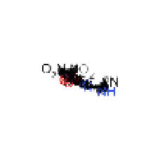 N#Cc1ccc2[nH]cc(CCCCN3CCN(c4ccc5oc(C(=O)N(C(=O)c6ccc([N+](=O)[O-])cc6)c6ccc([N+](=O)[O-])cc6)cc5c4)CC3)c2c1